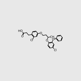 CC(CCOc1ccc(CCC(=O)O)c(Cl)c1)Oc1ccc(Cl)cc1Oc1ccccc1